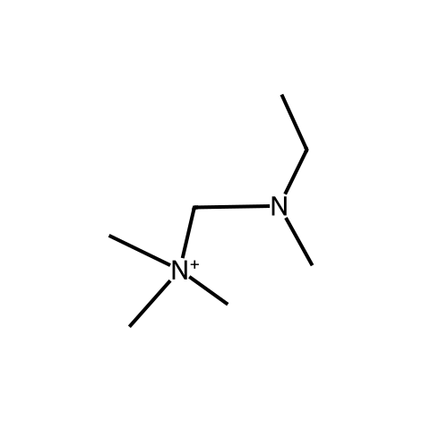 CCN(C)C[N+](C)(C)C